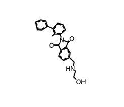 Cc1c(-c2ccccc2)cccc1N1C(=O)c2ccc(CNCCO)cc2C1=O